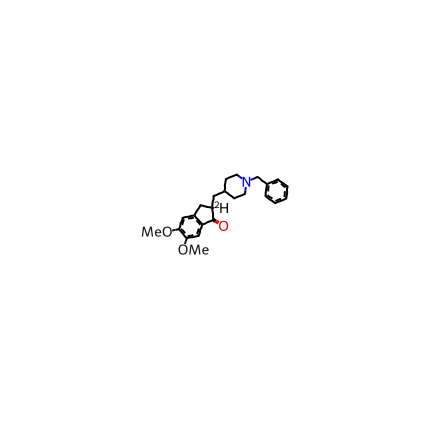 [2H][C@@]1(CC2CCN(Cc3ccccc3)CC2)Cc2cc(OC)c(OC)cc2C1=O